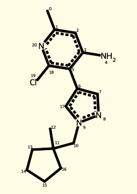 Cc1cc(N)c(-c2cnn(CC3(C)CCCC3)c2)c(Cl)n1